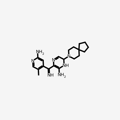 Cc1cnc(N)cc1C(=N)C1=C(N)NC(N2CCC3(CCCC3)CC2)C=N1